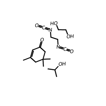 CC(C)O.CC1=CC(=O)CC(C)(C)C1.O=C=NCCN=C=O.OCCO